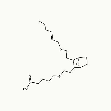 CCC/C=C/CSCCC1C2CCC(O2)C1CCSCCCCC(=O)O